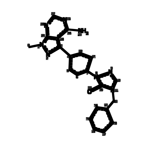 Cn1nc(-c2ccc(-n3ncn(Cc4ccccc4)c3=O)cc2)c2c(N)ncnc21